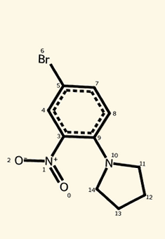 O=[N+]([O-])c1cc(Br)ccc1N1CCCC1